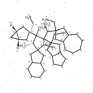 NCC1(C(C(=O)O)C(C(=O)O)(C2(CN)CC3CCCC3C2)C(C(=O)O)([C@@H](C(=O)O)C2(CN)CC3CCCCC3C2)[C@]2(CN)C[C@H]3C[C@H]3C2)CC2CCCCCC2C1